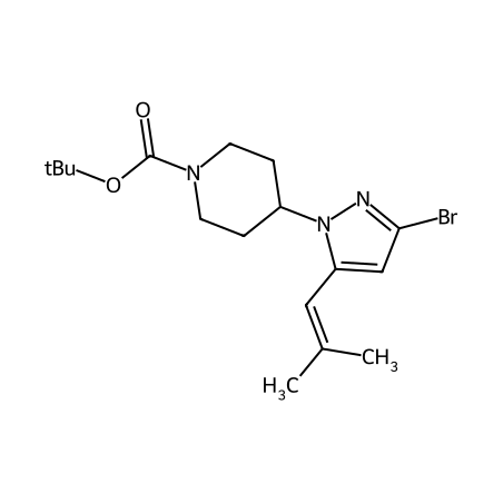 CC(C)=Cc1cc(Br)nn1C1CCN(C(=O)OC(C)(C)C)CC1